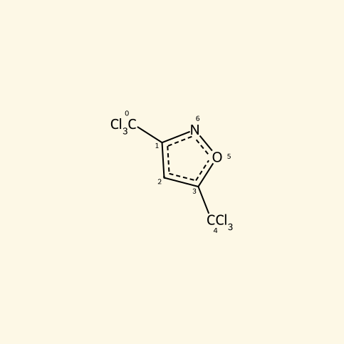 ClC(Cl)(Cl)c1cc(C(Cl)(Cl)Cl)on1